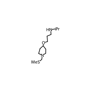 CSCN1CCC(OCCCNC(C)C)CC1